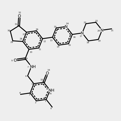 Cc1cc(C)c(CNC(=O)c2cc(-c3ccc(N4CCN(C)CC4)nc3)cc3c2CCC3=O)c(=O)[nH]1